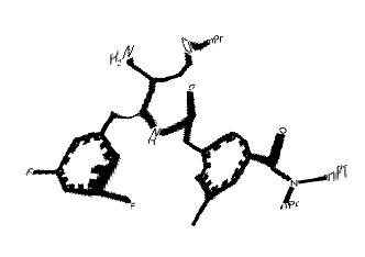 CCCOCC(N)[C@H](Cc1cc(F)cc(F)c1)NC(=O)c1cc(C)cc(C(=O)N(CCC)CCC)c1